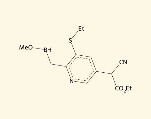 CCOC(=O)C(C#N)c1cnc(CBOC)c(SCC)c1